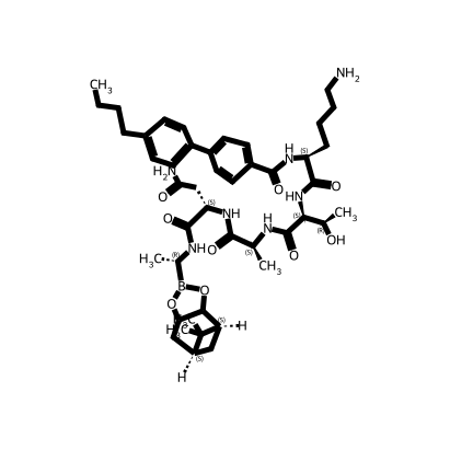 CCCCc1ccc(-c2ccc(C(=O)N[C@@H](CCCCN)C(=O)N[C@H](C(=O)N[C@@H](C)C(=O)N[C@@H](CC(N)=O)C(=O)N[C@@H](C)B3OC4C[C@@H]5C[C@H](C4O3)C5(C)C)[C@@H](C)O)cc2)cc1